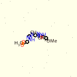 COc1ccc(CC(=O)Nc2nc3cc(N(C)c4ccnc(Nc5ccc(CS(C)(=O)=O)cc5)n4)ccc3n2C)cc1